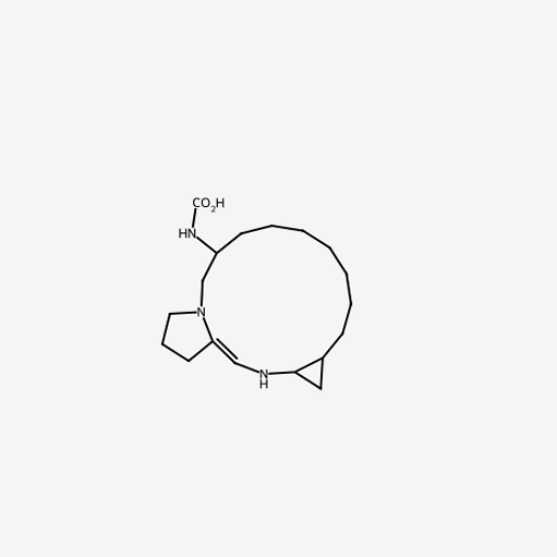 O=C(O)NC1CCCCCCCC2CC2NC=C2CCCN2C1